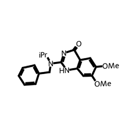 COc1cc2[nH]c(N(Cc3ccccc3)C(C)C)nc(=O)c2cc1OC